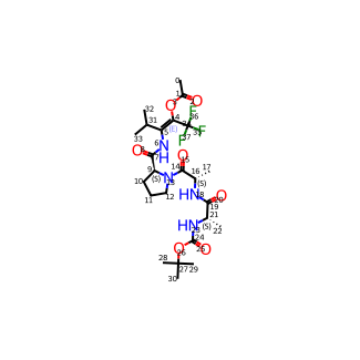 CC(=O)O/C(=C(/NC(=O)[C@@H]1CCCN1C(=O)[C@H](C)NC(=O)[C@H](C)NC(=O)OC(C)(C)C)C(C)C)C(F)(F)F